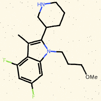 COCCCn1c(C2CCCNC2)c(C)c2c(F)cc(F)cc21